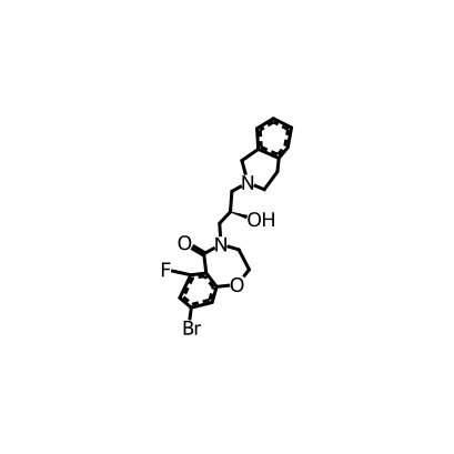 O=C1c2c(F)cc(Br)cc2OCCN1C[C@H](O)CN1CCc2ccccc2C1